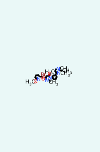 COc1cccc(COc2nc(C)n(-c3cccc(-c4nc(C(C)(C)C)ncc4C)c3)c(=O)c2Br)n1